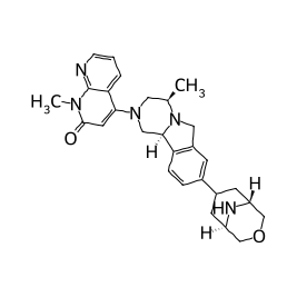 C[C@@H]1CN(c2cc(=O)n(C)c3ncccc23)C[C@@H]2c3ccc(C4C[C@@H]5COC[C@@H](C4)N5)cc3CN12